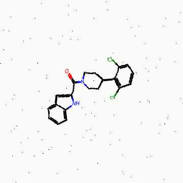 O=C(c1cc2ccccc2[nH]1)N1CCC(c2c(Cl)cccc2Cl)CC1